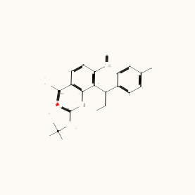 CCC(c1ccc(F)cc1)c1c([N+](=O)[O-])ccc(C(=O)O)c1NC(=O)OC(C)(C)C